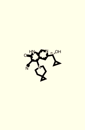 N#Cc1c(N2CCC3(CC2)CC3)c2cc([C@H](O)C3CC3)ncc2[nH]c1=O